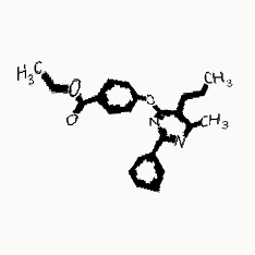 CCCc1c(C)nc(-c2ccccc2)nc1Oc1ccc(C(=O)OCC)cc1